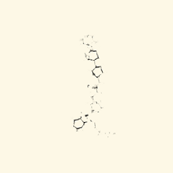 COCCCn1c([C@@H]2CCCN(C(=O)C[C@H](N)Cc3ccc(-c4ccc(N5CCOCC5)nc4)cc3)C2)nc2ccccc21